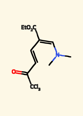 CCOC(=O)C(C=CC(=O)C(Cl)(Cl)Cl)=CN(C)C